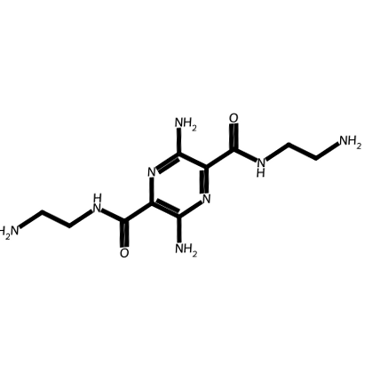 NCCNC(=O)c1nc(N)c(C(=O)NCCN)nc1N